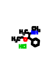 CCOC(c1ccccc1)C(C)NC.Cl